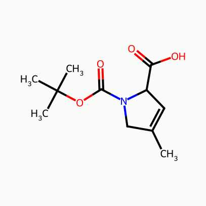 CC1=CC(C(=O)O)N(C(=O)OC(C)(C)C)C1